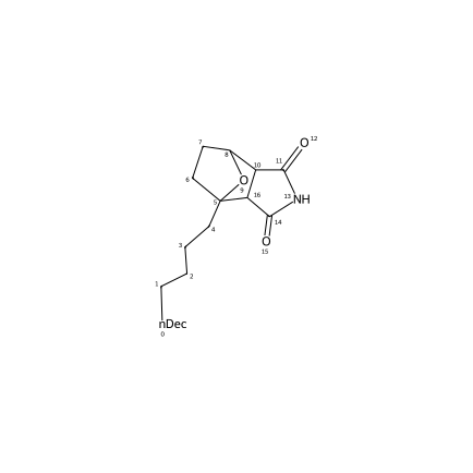 CCCCCCCCCCCCCCC12CCC(O1)C1C(=O)NC(=O)C12